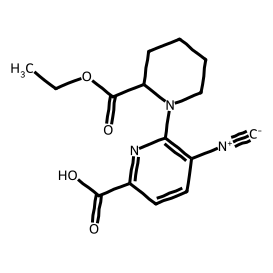 [C-]#[N+]c1ccc(C(=O)O)nc1N1CCCCC1C(=O)OCC